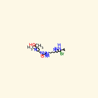 CC(C)(O)c1ccc(CNC(=O)c2cn(CCCCc3cc4c(Br)c(C5CC5)[nH]c4nn3)nn2)cn1